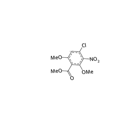 COC(=O)c1c(OC)[c]c(Cl)c([N+](=O)[O-])c1OC